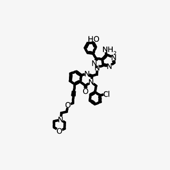 Nc1ncnc2c1c(-c1cccc(O)c1)nn2Cc1nc2cccc(C#CCOCCN3CCOCC3)c2c(=O)n1Cc1ccccc1Cl